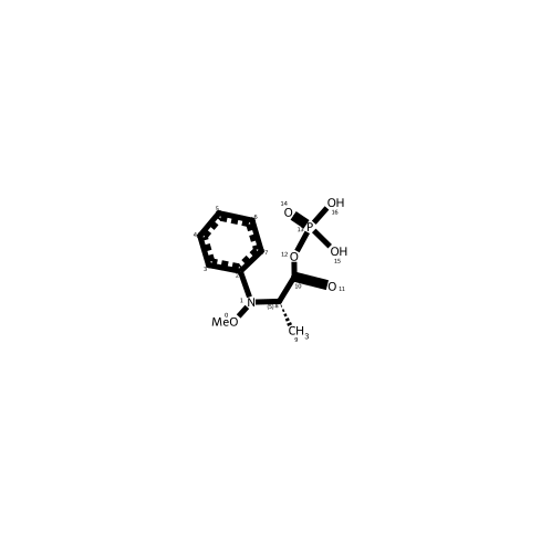 CON(c1ccccc1)[C@@H](C)C(=O)OP(=O)(O)O